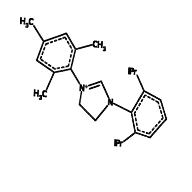 Cc1cc(C)c([N+]2=CN(c3c(C(C)C)cccc3C(C)C)CC2)c(C)c1